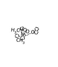 Cc1ccccc1Cn1c(C(=O)O)c(CCCOc2cccc3ccccc23)c2cccc(-c3ccccc3C)c21